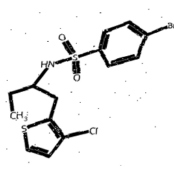 CCC(Cc1sccc1Cl)NS(=O)(=O)c1ccc(Br)cc1